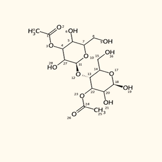 CC(=O)OC1C(O)C(CO)O[C@@H](O[C@@H]2C(CO)O[C@@H](O)C(O)C2OC(C)=O)C1O